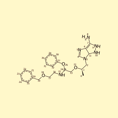 C[C@H](CN1C=NC2=C(N)NNC21)OCP(NCCOCc1ccccc1)Oc1ccccc1